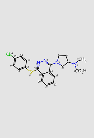 CN(C(=O)O)C1CCN(c2nnc(Sc3ccc(Cl)cc3)c3ccccc23)C1